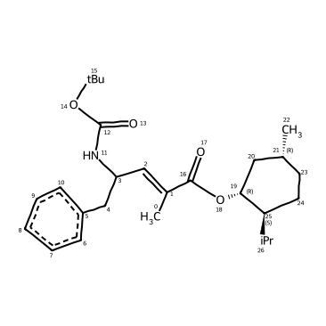 CC(=CC(Cc1ccccc1)NC(=O)OC(C)(C)C)C(=O)O[C@@H]1C[C@H](C)CC[C@H]1C(C)C